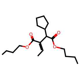 CC=C(C(=O)OCCCC)C(C(=O)OCCCC)C1CCCC1